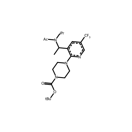 CC(=O)N(C(C)C)C(C)c1cc(C(F)(F)F)cnc1N1CCN(C(=O)OC(C)(C)C)CC1